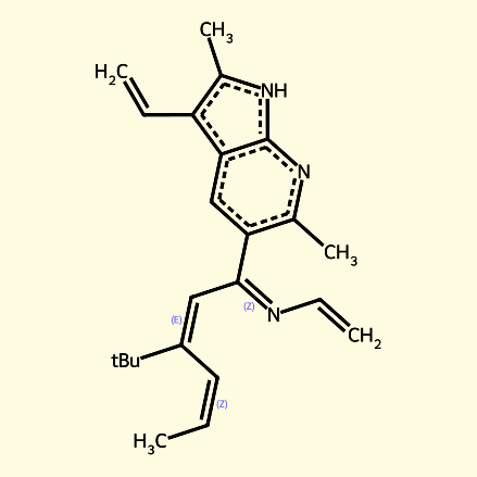 C=C/N=C(/C=C(\C=C/C)C(C)(C)C)c1cc2c(C=C)c(C)[nH]c2nc1C